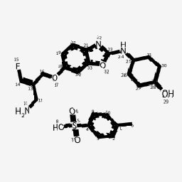 Cc1ccc(S(=O)(=O)O)cc1.NC/C(=C/F)COc1ccc2nc(NC3CCC(O)CC3)oc2c1